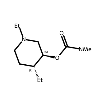 CC[C@@H]1CCN(CC)C[C@H]1OC(=O)NC